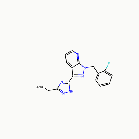 CC(=O)NCc1n[nH]c(-c2nn(Cc3ccccc3F)c3ncccc23)n1